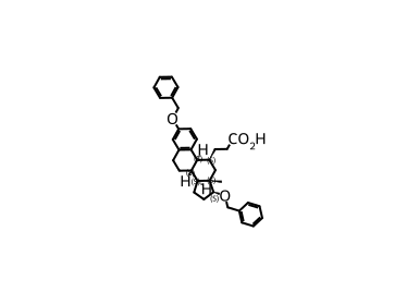 C[C@]12C[C@H](CCC(=O)O)[C@@H]3c4ccc(OCc5ccccc5)cc4CC[C@H]3[C@@H]1CC[C@@H]2OCc1ccccc1